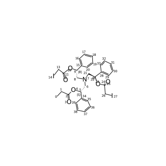 CCC(=O)O[C@H](CN(C[C@H](OC(=O)CI)c1ccccc1)C[C@H](OC(=O)CI)c1ccccc1)c1ccccc1